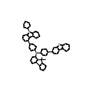 CC1(C)c2ccccc2-c2cccc(N(c3ccc(-c4ccc5c(c4)oc4ccccc45)cc3)c3ccc(-c4cccc5c4c4ccccc4n5-c4ccccc4)cc3)c21